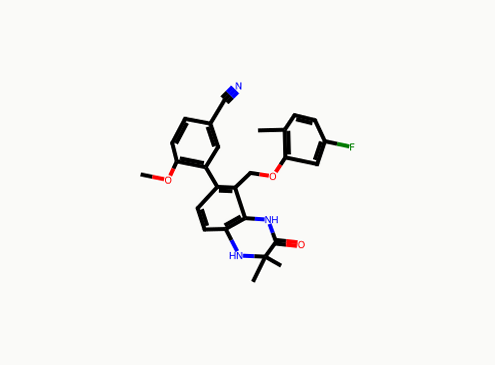 COc1ccc(C#N)cc1-c1ccc2c(c1COc1cc(F)ccc1C)NC(=O)C(C)(C)N2